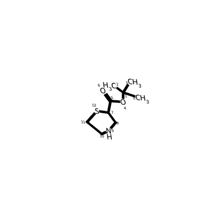 CC(C)(C)OC(=O)C1CNCCS1